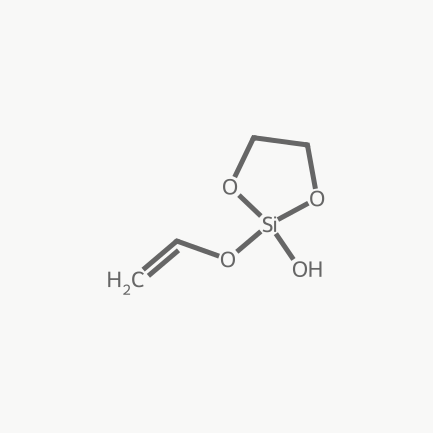 C=CO[Si]1(O)OCCO1